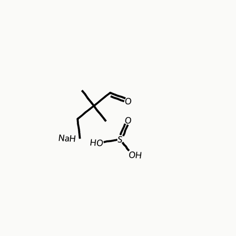 CCC(C)(C)C=O.O=S(O)O.[NaH]